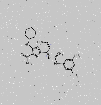 C=C(/N=C(\C=C/N)c1nc(C(N)=O)c(NC2CCCCC2)s1)Nc1cc(C)cc(C)c1